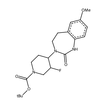 COc1ccc2c(c1)CCN(C1CCN(C(=O)OC(C)(C)C)CC1F)C(=O)N2